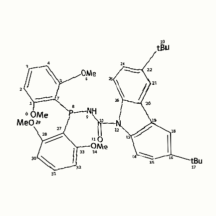 COc1cccc(OC)c1P(NC(=O)n1c2ccc(C(C)(C)C)cc2c2cc(C(C)(C)C)ccc21)c1c(OC)cccc1OC